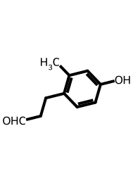 Cc1cc(O)ccc1CCC=O